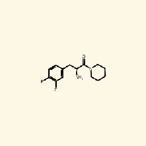 N[C@@H](Cc1ccc(F)c(F)c1)C(=O)N1CCCCC1